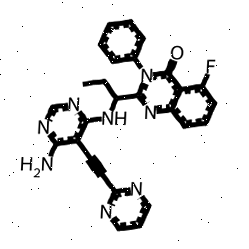 CCC(Nc1ncnc(N)c1C#Cc1ncccn1)c1nc2cccc(F)c2c(=O)n1-c1ccccc1